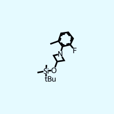 Cc1cccc(F)c1N1CC(O[Si](C)(C)C(C)(C)C)C1